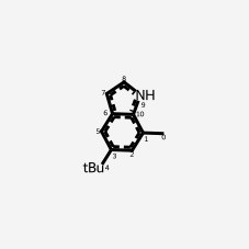 Cc1cc(C(C)(C)C)cc2cc[nH]c12